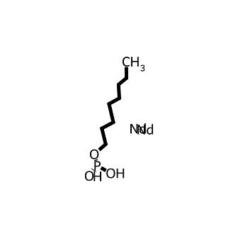 CCCCCCCCO[PH](=O)O.[Nd].[Nd]